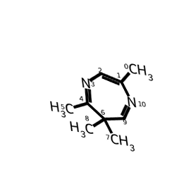 CC1=CN=C(C)C(C)(C)C=N1